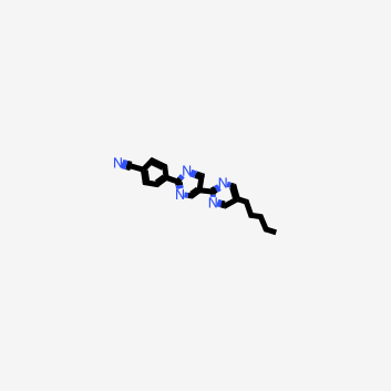 CCCCCc1cnc(-c2cnc(-c3ccc(C#N)cc3)nc2)nc1